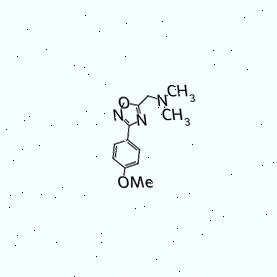 COc1ccc(-c2noc(CN(C)C)n2)cc1